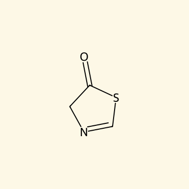 O=C1CN=CS1